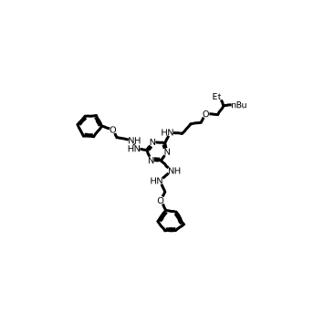 CCCCC(CC)COCCCNc1nc(NNCOc2ccccc2)nc(NNCOc2ccccc2)n1